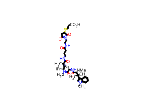 CN[C@H](C(=O)N[C@H](C(=O)N(C)[C@H](/C=C(\C)C(=O)NCCCC(=O)NCCN1C(=O)CC(SCCC(=O)O)C1=O)C(C)C)C(C)(C)C)C(C)(C)c1cn(C)c2ccccc12